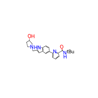 CC(C)(C)NC(=O)c1cccc(-c2ccc3[nH]c(CN4CCC(O)C4)cc3c2)n1